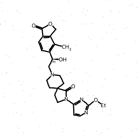 CCOc1nccc(N2CCC3(CCN(C[C@H](O)c4ccc5c(c4C)COC5=O)CC3)C2=O)n1